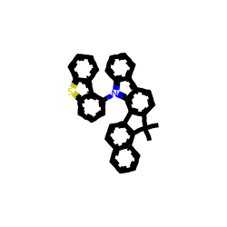 CC1(C)c2ccc3c4ccccc4n(-c4cccc5sc6ccccc6c45)c3c2-c2ccc3ccccc3c21